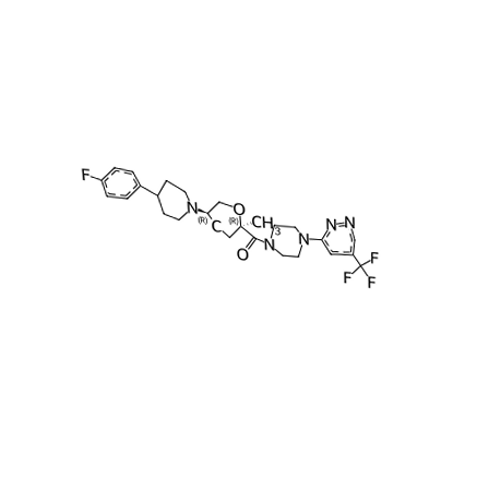 C[C@]1(C(=O)N2CCN(c3cc(C(F)(F)F)cnn3)CC2)CC[C@@H](N2CCC(c3ccc(F)cc3)CC2)CO1